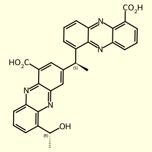 C[C@@H](c1cc(C(=O)O)c2nc3cccc([C@@H](C)O)c3nc2c1)c1cccc2nc3c(C(=O)O)cccc3nc12